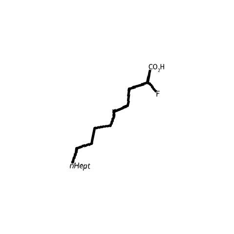 CCCCCCCCCCCCCCC(F)C(=O)O